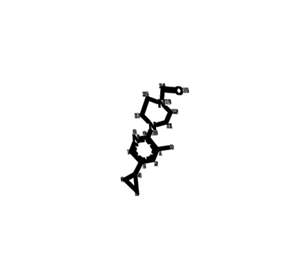 Cc1cc(C2CC2)cnc1N1CCN(C=O)CC1